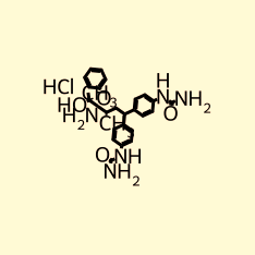 CC(O)C(N)(Oc1ccccc1)[C@H](C)CC(c1ccc(NC(N)=O)cc1)c1ccc(NC(N)=O)cc1.Cl